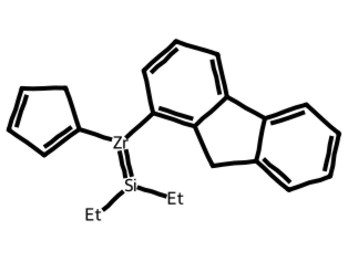 CC[Si](CC)=[Zr]([C]1=CC=CC1)[c]1cccc2c1Cc1ccccc1-2